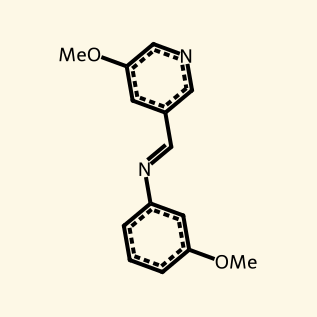 COc1cncc(C=Nc2cccc(OC)c2)c1